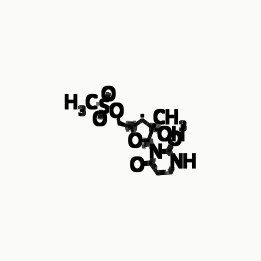 C[C@]1(O)[CH][C@H](COS(C)(=O)=O)O[C@H]1n1c(=O)cc[nH]c1=O